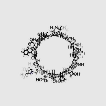 C=C/C(=C\CC)CSC[C@H]1NC(=O)[C@@H](C)NC(=O)[C@H](Cc2cccc3ccccc23)NC(=O)[C@H](CCC(=O)O)NC(=O)[C@H](CC(N)=O)NC(=O)[C@@H](C)NC(=O)[C@@H](NC(=O)[C@H](C)N)CN(C)CCN(C)C[C@@H](C(N)=O)NC(=O)[C@H](C(C)(C)C)NC(=O)[C@H](CC(=O)O)NC(=O)[C@H](CC2CC[C@@H]2O)NC(=O)[C@H](Cc2ccccc2)NC(=O)[C@H](CC(=O)O)NC(=O)[C@H](CCC(=O)O)NC1=O